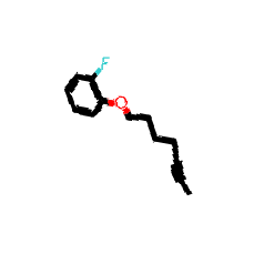 CC#CCCCCOc1ccc[c]c1F